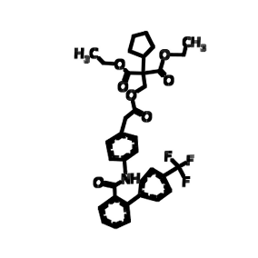 CCOC(=O)C(COC(=O)Cc1ccc(NC(=O)c2ccccc2-c2ccc(C(F)(F)F)cc2)cc1)(C(=O)OCC)C1CCCC1